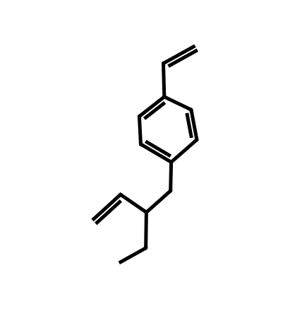 C=Cc1ccc(CC(C=C)CC)cc1